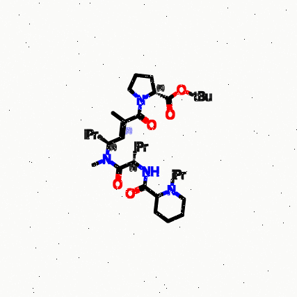 C/C(=C\[C@H](C(C)C)N(C)C(=O)[C@@H](NC(=O)C1CCCCN1C(C)C)C(C)C)C(=O)N1CCC[C@@H]1C(=O)OC(C)(C)C